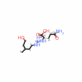 CC(CCO)CCNNN[C@@H](CCC(N)=O)C(=O)O